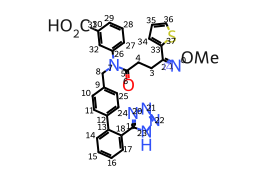 CO/N=C(/CCC(=O)N(Cc1ccc(-c2ccccc2-c2nnn[nH]2)cc1)c1cccc(C(=O)O)c1)c1cccs1